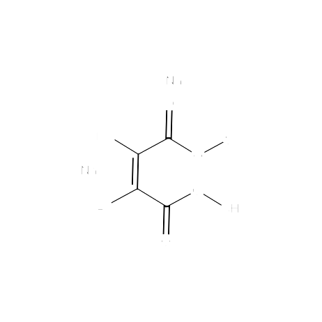 CC/C(C(=O)OS)=C(\C)C(=O)OS.[NaH].[NaH]